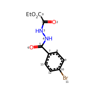 CCOC(=O)C(=O)NNC(=O)c1ccc(Br)cc1